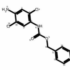 Nc1cc(Cl)c(NC(=O)OCc2ccccc2)cc1Cl